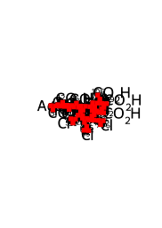 CC(=O)CC(CCC(=O)O)C(=O)CN(CCC(=O)O)C(=O)CN(CCC(=O)O)C(=O)CN(CCC(=O)O)C(=O)CN(CCc1ccc(Cl)cc1)C(=O)CN(CCc1ccc(Cl)cc1)C(=O)CN(CCc1ccc(Cl)cc1)C(=O)CN(CCc1ccc(Cl)cc1)C(=O)CN(CCC(=O)O)C(=O)CN(CCC(=O)O)C(=O)CN(CCC(=O)O)C(=O)CNCCC(=O)O